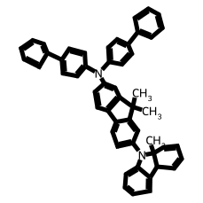 CC1(C)c2cc(N(c3ccc(-c4ccccc4)cc3)c3ccc(-c4ccccc4)cc3)ccc2-c2ccc(N3c4ccccc4C4C=CC=CC43C)cc21